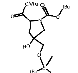 COC(=O)[C@@H]1CC(O)(CO[Si](C)(C)C(C)(C)C)CN1C(=O)OC(C)(C)C